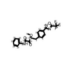 CON(Cc1ccc(-c2noc(C(F)(F)F)n2)cc1)C(=O)C(=O)Nc1ccccc1